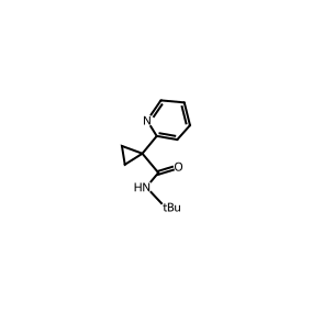 CC(C)(C)NC(=O)C1(c2ccccn2)CC1